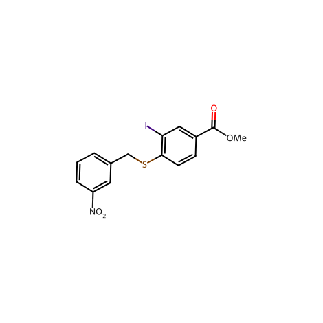 COC(=O)c1ccc(SCc2cccc([N+](=O)[O-])c2)c(I)c1